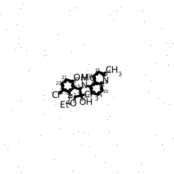 CCOCC(O)(C(Nc1cccc2nc(C)ccc12)c1c(OC)ccc(Cl)c1F)C(F)(F)F